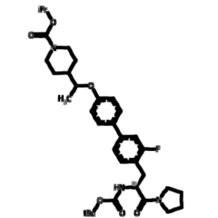 CC(C)OC(=O)N1CCC(C(C)Oc2ccc(-c3ccc(C[C@H](NC(=O)OC(C)(C)C)C(=O)N4CCCC4)c(F)c3)cc2)CC1